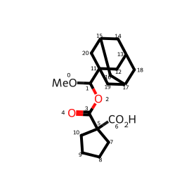 COC(OC(=O)C1(C(=O)O)CCCC1)C12CC3CC(CC(C3)C1)C2